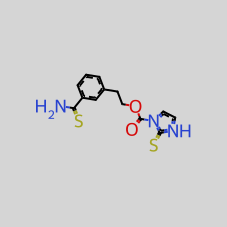 NC(=S)c1cccc(CCOC(=O)n2cc[nH]c2=S)c1